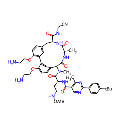 CONCC[C@H](NC(=O)c1cnc(-c2ccc(C(C)(C)C)cc2)nc1C)C(=O)N(C)[C@@H]1C(=O)N[C@@H](C)C(=O)N[C@H](C(=O)NCC#N)Cc2ccc(OCCN)c(c2)-c2cc1ccc2OCCN